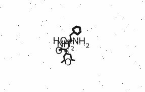 CC1CC([C@H](C[C@H](O)[C@@H](N)Cc2ccccc2)C(N)=O)CC(C)O1